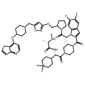 CN[C@@H](C)C(=O)N[C@H](C(=O)N1CCN(C(=O)c2cc3cc(F)c(F)cc3n2CC(=O)N2CCCC2COc2cc(CN3CCC(Oc4ccnc5ccsc45)CC3)on2)[C@@H](C)C1)C1CCC(F)(F)CC1